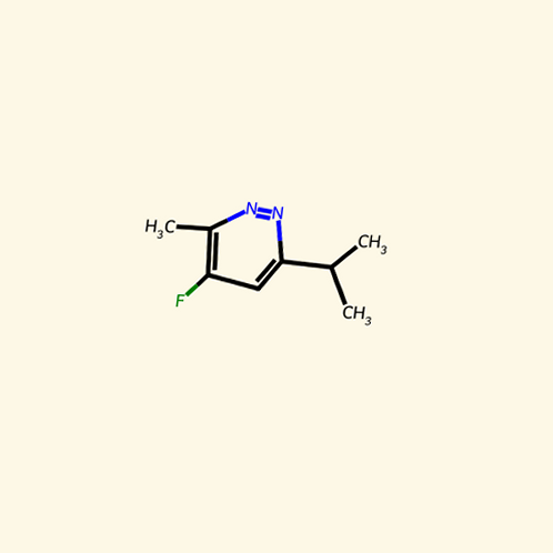 Cc1nnc(C(C)C)cc1F